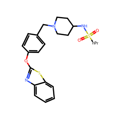 CCCS(=O)(=O)NC1CCN(Cc2ccc(Oc3nc4ccccc4s3)cc2)CC1